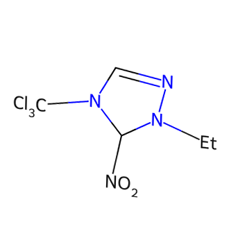 CCN1N=CN(C(Cl)(Cl)Cl)C1[N+](=O)[O-]